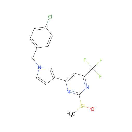 C[S+]([O-])c1nc(-c2ccn(Cc3ccc(Cl)cc3)c2)cc(C(F)(F)F)n1